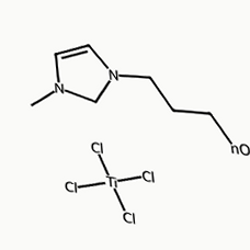 CCCCCCCCCCCN1C=CN(C)C1.[Cl][Ti]([Cl])([Cl])[Cl]